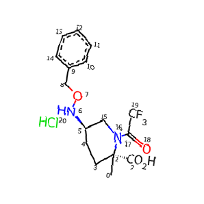 C[C@@]1(C(=O)O)CC[C@@H](NOCc2ccccc2)CN1C(=O)C(F)(F)F.Cl